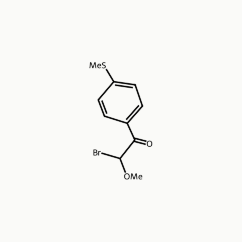 COC(Br)C(=O)c1ccc(SC)cc1